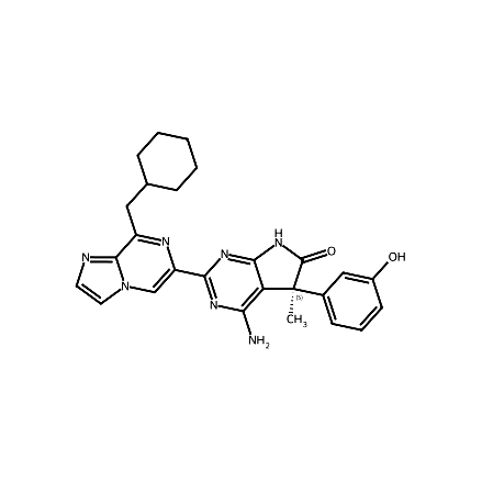 C[C@@]1(c2cccc(O)c2)C(=O)Nc2nc(-c3cn4ccnc4c(CC4CCCCC4)n3)nc(N)c21